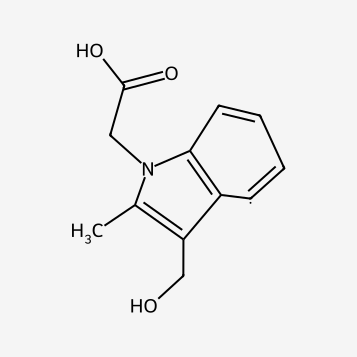 Cc1c(CO)c2[c]cccc2n1CC(=O)O